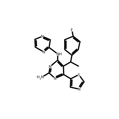 CC(c1ccc(F)cc1)c1c(Nc2cnccn2)nc(N)nc1-c1cncs1